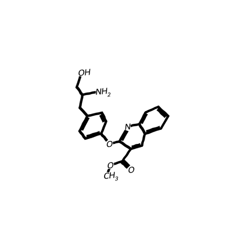 COC(=O)c1cc2ccccc2nc1Oc1ccc(CC(N)CO)cc1